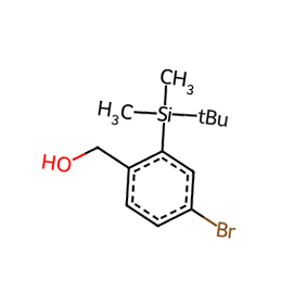 CC(C)(C)[Si](C)(C)c1cc(Br)ccc1CO